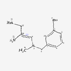 CCC(C)c1cccc(CN(C)/C=C(\N)CNC)c1